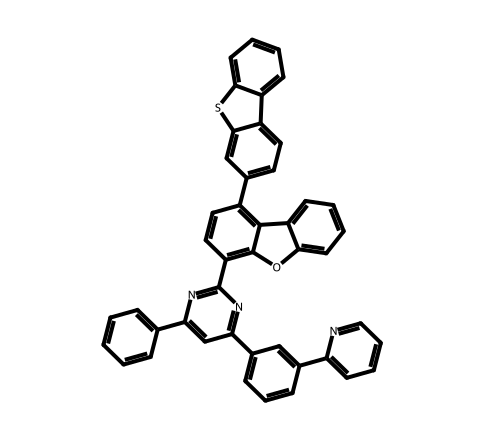 c1ccc(-c2cc(-c3cccc(-c4ccccn4)c3)nc(-c3ccc(-c4ccc5c(c4)sc4ccccc45)c4c3oc3ccccc34)n2)cc1